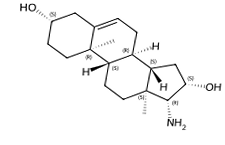 C[C@]12CC[C@H]3[C@@H](CC=C4C[C@@H](O)CC[C@@]43C)[C@@H]1C[C@H](O)[C@@H]2N